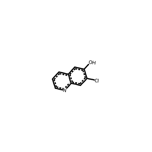 Oc1cc2cccnc2cc1Cl